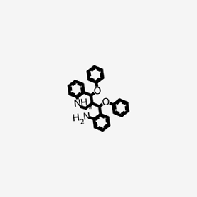 CCC(C(Oc1ccccc1)c1ccccc1N)C(Oc1ccccc1)c1ccccc1N